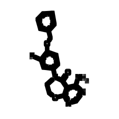 Nc1ncnc2c1C(=O)N(c1ccc(OCc3ccccc3)c(F)c1)CCO2